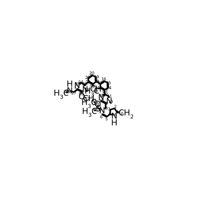 C=C1CCC(/C=C\N(Cc2ncc(-c3cccc(-c4cccc(-c5cnc(CNC)c(OC)n5)c4C)c3C)nc2OC)SC)N1